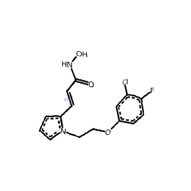 O=C(/C=C/c1cccn1CCOc1ccc(F)c(Cl)c1)NO